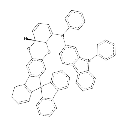 C1=C[C@H]2Oc3cc4c(cc3OC2C(N(c2ccccc2)c2ccc3c5ccccc5n(-c5ccccc5)c3c2)=C1)C1(C2=C4CCC=C2)c2ccccc2-c2ccccc21